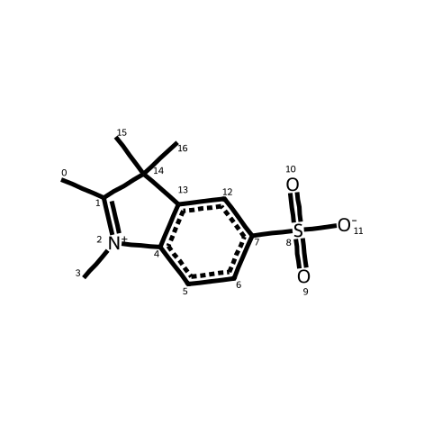 CC1=[N+](C)c2ccc(S(=O)(=O)[O-])cc2C1(C)C